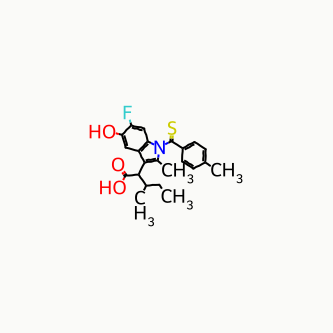 CCC(C)C(C(=O)O)c1c(C)n(C(=S)c2ccc(C)cc2)c2cc(F)c(O)cc12